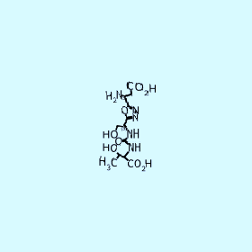 CC(O)C(NC(=O)N[C@@H](CO)c1nnc([C@@H](N)CC(=O)O)o1)C(=O)O